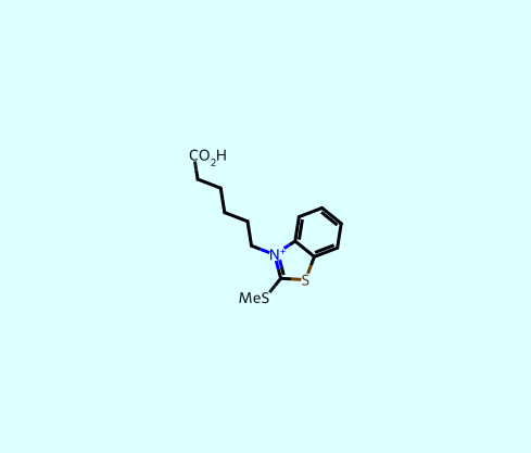 CSc1sc2ccccc2[n+]1CCCCCC(=O)O